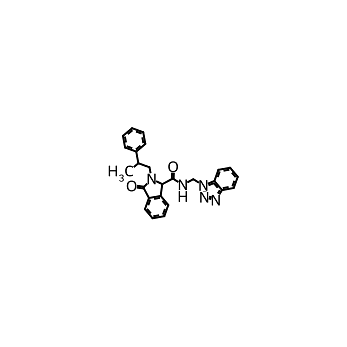 CC(CN1C(=O)c2ccccc2C1C(=O)NCn1nnc2ccccc21)c1ccccc1